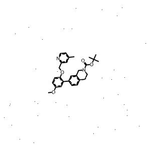 COc1ccc(OCc2cc(C)ccn2)c(-c2ccc3c(c2)CN(C(=O)OC(C)(C)C)CC3)c1